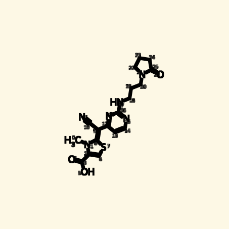 CN1C(C(=O)O)=CSC1=C(C#N)c1ccnc(NCCCN2CCCC2=O)n1